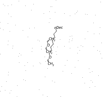 C=COC=C.C=COCCCCCCCCCCCCCCCCCC